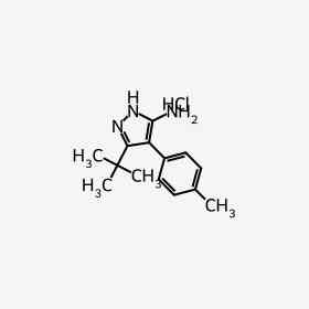 Cc1ccc(-c2c(C(C)(C)C)n[nH]c2N)cc1.Cl